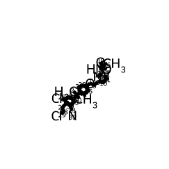 CC(C)(c1ccc(OCc2ccnc(NS(C)(=O)=O)n2)cc1)c1cc(Cl)c(CCCl)c(C#N)c1